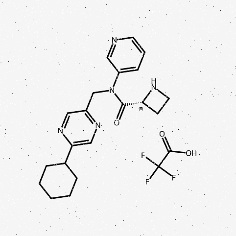 O=C(O)C(F)(F)F.O=C([C@H]1CCN1)N(Cc1cnc(C2CCCCC2)cn1)c1cccnc1